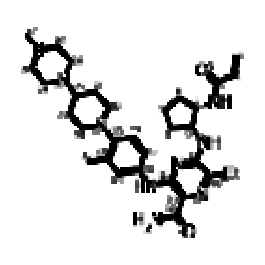 C=CC(=O)N[C@H]1CCC[C@@H]1Nc1nc(Nc2ccc(N3CCC(N4CCN(C)CC4)CC3)c(C)c2)c(C(N)=O)nc1CC